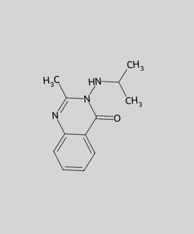 Cc1nc2ccccc2c(=O)n1NC(C)C